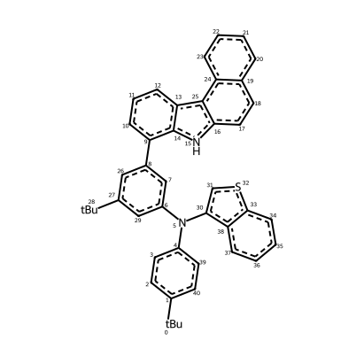 CC(C)(C)c1ccc(N(c2cc(-c3cccc4c3[nH]c3ccc5ccccc5c34)cc(C(C)(C)C)c2)c2csc3ccccc23)cc1